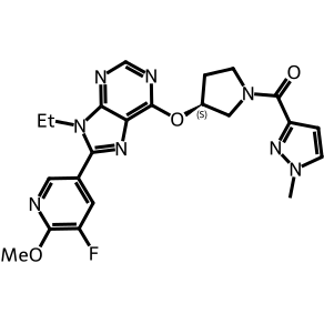 CCn1c(-c2cnc(OC)c(F)c2)nc2c(O[C@H]3CCN(C(=O)c4ccn(C)n4)C3)ncnc21